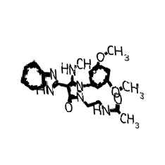 CNc1c(-c2nc3ccccc3[nH]2)c(=O)n(CCNC(C)=O)n1-c1cc(OC)cc(OC)c1